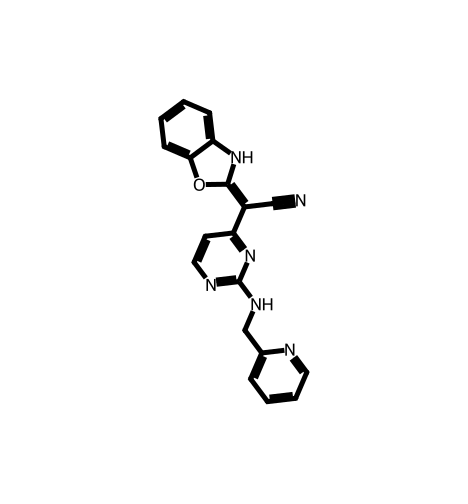 N#CC(=C1Nc2ccccc2O1)c1ccnc(NCc2ccccn2)n1